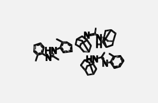 CC(=NC12CC3CC(CC(C3)C1)C2)NC12CC3CC(CC(C3)C1)C2.CC(=Nc1ccccc1C)NC12CC3CC(CC(C3)C1)C2.CC(=Nc1ccccc1C)Nc1ccccc1C